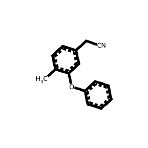 Cc1ccc([CH]C#N)cc1Oc1ccccc1